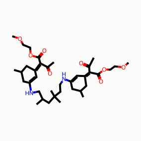 COCCOC(=O)/C(C(C)=O)=C1/C=C(NCCC(C)(C)CC(C)CNC2=C/C(=C(\C(C)=O)C(=O)OCCOC)CC(C)C2)CC(C)C1